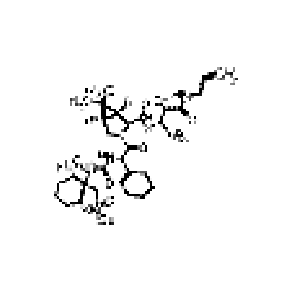 C=CCNC(=O)C(O)C(CCCC)NC(=O)[C@@H]1[C@@H]2[C@H](CN1C(=O)[C@@H](NC(=O)N[C@@]1(CS(=O)(=O)C(C)(C)C)[C@H](C)CCC[C@@H]1C)C1=CCCCC1)C2(C)C